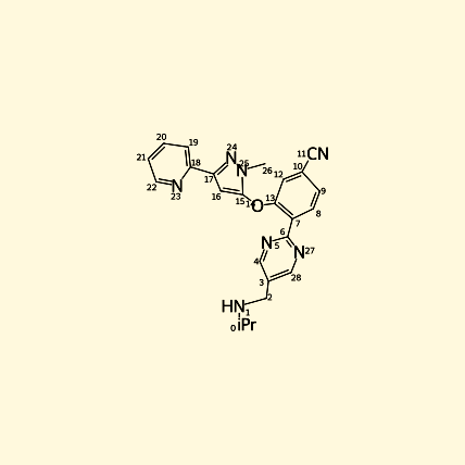 CC(C)NCc1cnc(-c2ccc(C#N)cc2Oc2cc(-c3ccccn3)nn2C)nc1